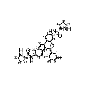 O=C(Nc1ccc2c(c1)O[C@@H](c1cc(F)cc(F)c1)n1c-2cc2cc(NC(=O)[C@@H]3CCCN3)ccc21)[C@@H]1CCCN1